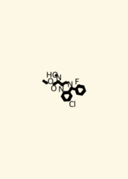 CCOC(=O)/C(=N\O)C1=Nc2ccc(Cl)cc2C(c2ccccc2F)=NC1